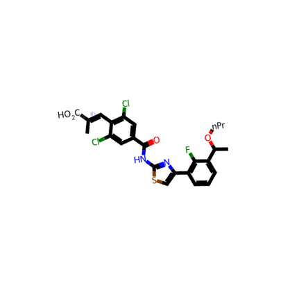 CCCOC(C)c1cccc(-c2csc(NC(=O)c3cc(Cl)c(/C=C(\C)C(=O)O)c(Cl)c3)n2)c1F